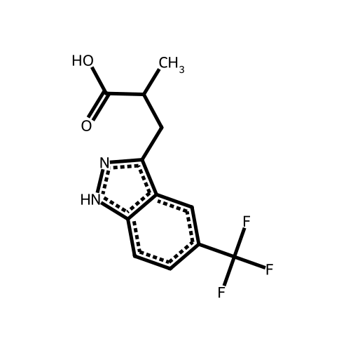 CC(Cc1n[nH]c2ccc(C(F)(F)F)cc12)C(=O)O